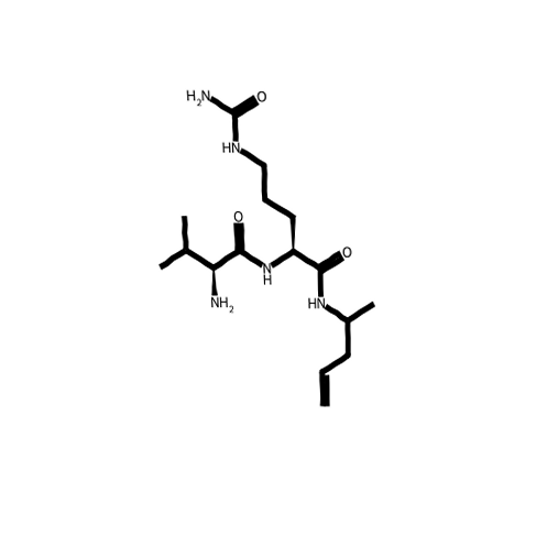 C=CCC(C)NC(=O)[C@H](CCCNC(N)=O)NC(=O)[C@@H](N)C(C)C